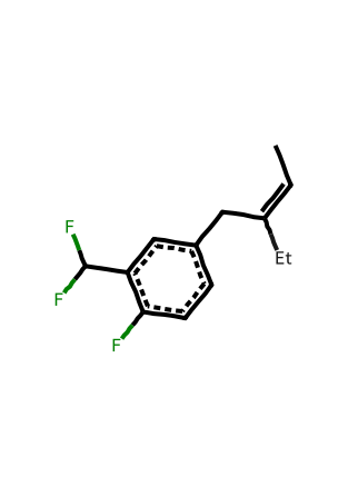 C/C=C(/CC)Cc1ccc(F)c(C(F)F)c1